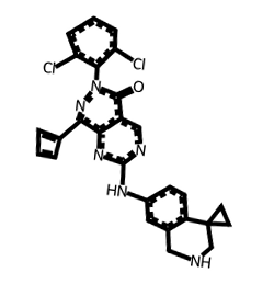 O=c1c2cnc(Nc3ccc4c(c3)CNCC43CC3)nc2c(C2=CC=C2)nn1-c1c(Cl)cccc1Cl